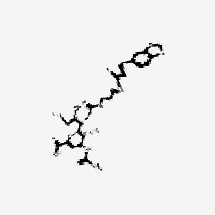 C[C@H]1[C@H]([C@H](OC(=O)NCCCNC(=O)/C=C/c2ccc3c(c2)OCO3)[C@H](O)CO)OC(C(=O)O)=C[C@@H]1NC(=N)N